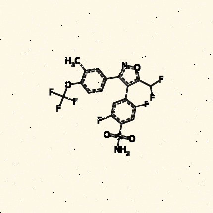 Cc1cc(-c2noc(C(F)F)c2-c2cc(F)c(S(N)(=O)=O)cc2F)ccc1OC(F)(F)F